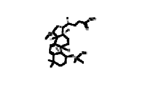 CO.COC(=O)CC[C@@H](C)[C@H]1CC[C@H]2C3=CC=C4C(C)(C)CCC(O[Si](C)(C)C(C)(C)C)[C@]4(C)[C@H]3CC[C@]12C